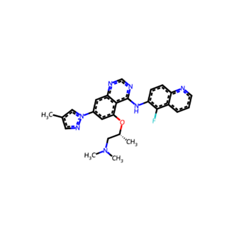 Cc1cnn(-c2cc(O[C@H](C)CN(C)C)c3c(Nc4ccc5ncccc5c4F)ncnc3c2)c1